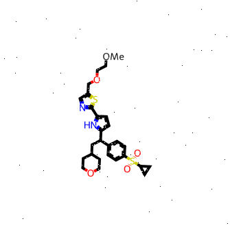 COCCOCc1cnc(-c2ccc(C(CC3CCOCC3)c3ccc(S(=O)(=O)C4CC4)cc3)[nH]2)s1